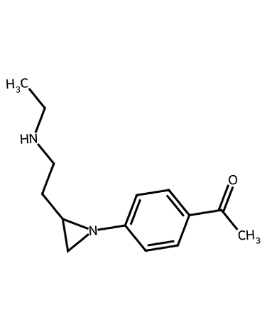 CCNCCC1CN1c1ccc(C(C)=O)cc1